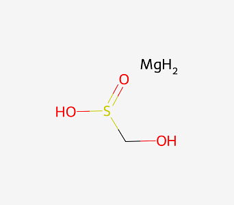 O=S(O)CO.[MgH2]